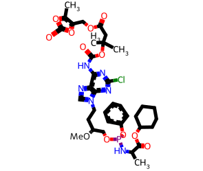 COC(CCn1cnc2c(NC(=O)OC(C)(C)CC(=O)OCc3oc(=O)oc3C)nc(Cl)nc21)COP(NC(C)C(=O)OC1CCCCC1)Oc1ccccc1